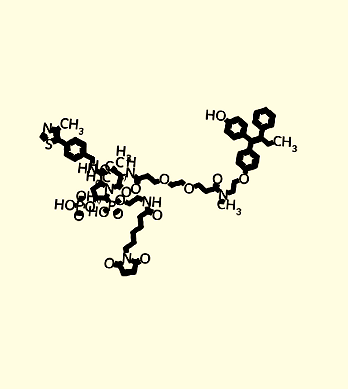 CCC(=C(c1ccc(O)cc1)c1ccc(OCCN(C)C(=O)CCOCCOCCC(=O)N[C@H](C(=O)N2C(P(=O)(O)OCCNC(=O)CCCCCN3C(=O)C=CC3=O)[C@H](OP(=O)(O)O)C[C@H]2C(=O)NCc2ccc(-c3scnc3C)cc2)C(C)(C)C)cc1)c1ccccc1